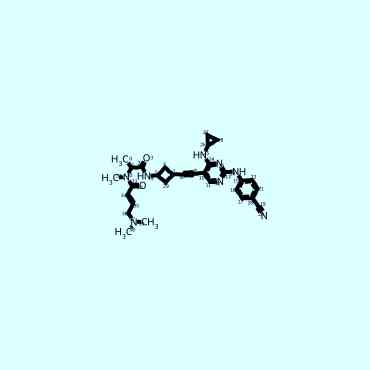 CC(C(=O)NC1CC(C#Cc2cnc(Nc3ccc(C#N)cc3)nc2NC2CC2)C1)N(C)C(=O)C=CCN(C)C